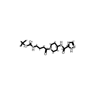 CC(C)(C)OC(=O)NCCCC(=O)N1CCC(NC(=O)c2ncn[nH]2)CC1